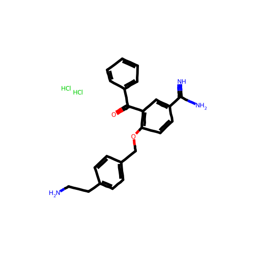 Cl.Cl.N=C(N)c1ccc(OCc2ccc(CCN)cc2)c(C(=O)c2ccccc2)c1